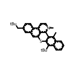 Cc1c2c(c(C(C)(C)C)c3ccccc13)Sc1cc3cc(CC(C)(C)C)ccc3c3cc[n+](C)c-2c13